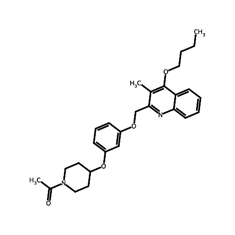 CCCCOc1c(C)c(COc2cccc(OC3CCN(C(C)=O)CC3)c2)nc2ccccc12